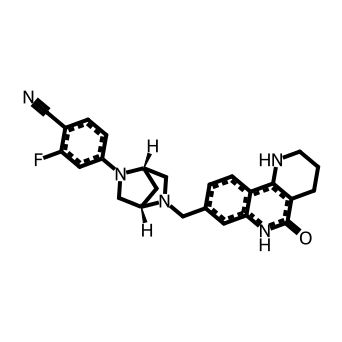 N#Cc1ccc(N2C[C@@H]3C[C@H]2CN3Cc2ccc3c4c(c(=O)[nH]c3c2)CCCN4)cc1F